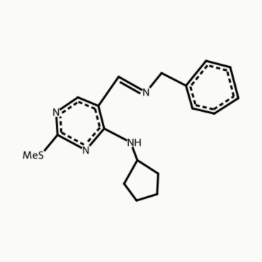 CSc1ncc(C=NCc2ccccc2)c(NC2CCCC2)n1